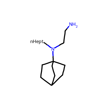 CCCCCCCN(CCN)C12CCC(CC1)CC2